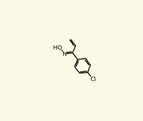 C=CC(=NO)c1ccc(Cl)cc1